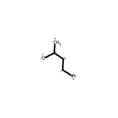 CC(C)CCC(C)Cl